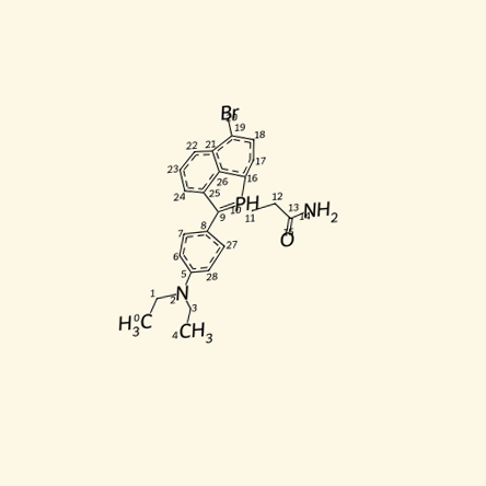 CCN(CC)c1ccc(C2=[PH](CCC(N)=O)c3ccc(Br)c4cccc2c34)cc1